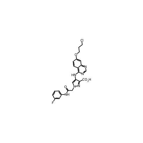 O=C(Cn1cc(Nc2ncnc3cc(OCCCCl)ccc23)c(C(=O)O)n1)Nc1cccc(F)c1